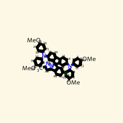 COc1ccc(N(c2ccc(OC)cc2)c2ccc3c(c2)C2(c4cc(N(c5ccc(OC)cc5)c5ccc(OC)cc5)ccc4-3)c3cc(F)ccc3-c3cc(C(F)(F)F)nn32)cc1